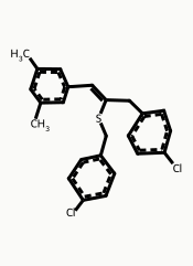 Cc1cc(C)cc(C=C(Cc2ccc(Cl)cc2)SCc2ccc(Cl)cc2)c1